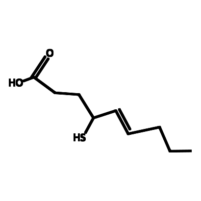 CCCC=CC(S)CCC(=O)O